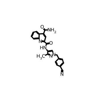 Cc1nn(Cc2ccc(C#N)cc2)cc1NC(=O)c1cc(C(N)=O)c2ccccc2n1